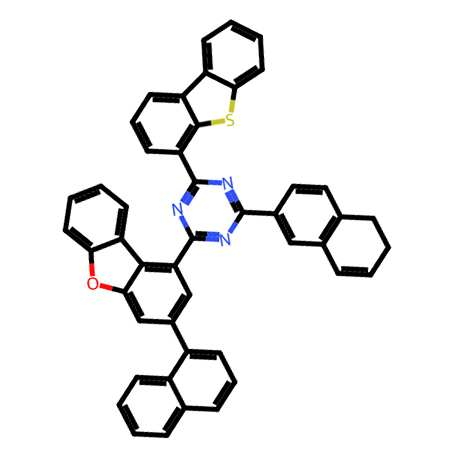 C1=Cc2cc(-c3nc(-c4cccc5c4sc4ccccc45)nc(-c4cc(-c5cccc6ccccc56)cc5oc6ccccc6c45)n3)ccc2CC1